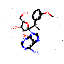 COc1cccc([C@@H](C)[C@@]2(n3cnc4c(N)ncnc43)O[C@H](CO)[C@@H](O)[C@H]2O)c1